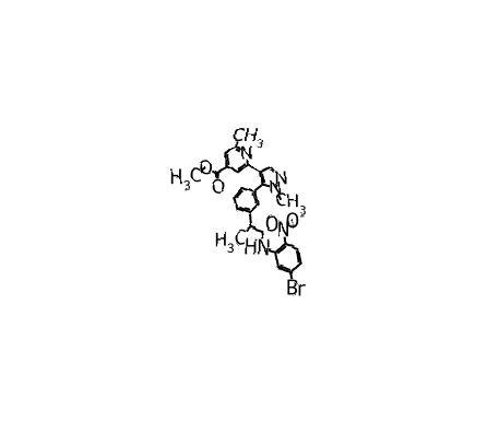 COC(=O)c1cc(C)nc(-c2cnn(C)c2-c2cccc(C(C)CNc3cc(Br)ccc3[N+](=O)[O-])c2)c1